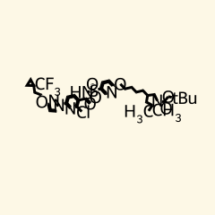 CC(C)(C)OC(=O)N1CC(CCCCOc2ccc(S(=O)(=O)NC(=O)c3ccc(-n4ccc(OCCC5(C(F)(F)F)CC5)n4)nc3Cl)cn2)CC1(C)C